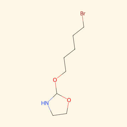 BrCCCCCOC1NCCO1